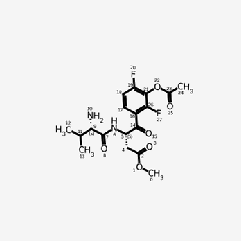 COC(=O)C[C@H](NC(=O)[C@@H](N)C(C)C)C(=O)c1ccc(F)c(OC(C)=O)c1F